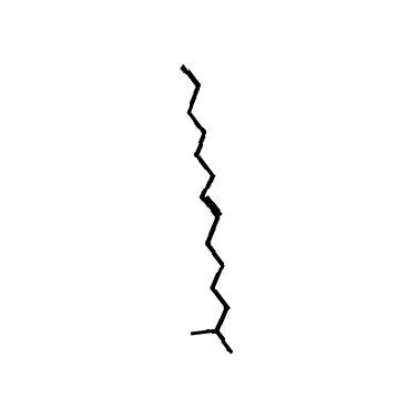 CCCCCCC=CCCCC[C](C)C